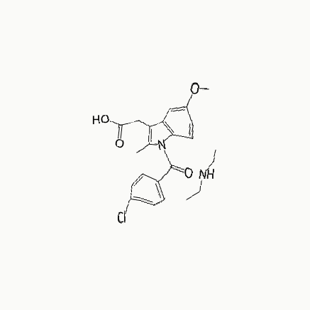 CCNCC.COc1ccc2c(c1)c(CC(=O)O)c(C)n2C(=O)c1ccc(Cl)cc1